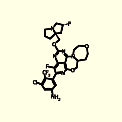 Nc1cc(Cl)c(C(F)(F)F)c(-c2nc3c4c(nc(OC[C@@]56CCCN5C[C@H](F)C6)nc4c2F)N2CCOCCC2CO3)c1